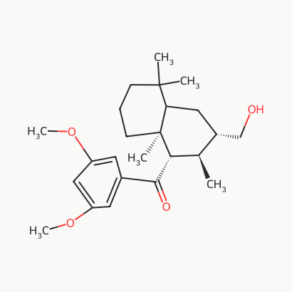 COc1cc(OC)cc(C(=O)[C@H]2[C@H](C)[C@@H](CO)CC3C(C)(C)CCC[C@@]32C)c1